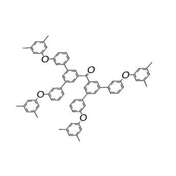 Cc1cc(C)cc(Oc2cccc(-c3cc(C(=O)c4cc(-c5cccc(Oc6cc(C)cc(C)c6)c5)cc(-c5cccc(Oc6cc(C)cc(C)c6)c5)c4)cc(-c4cccc(Oc5cc(C)cc(C)c5)c4)c3)c2)c1